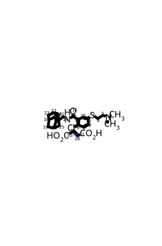 CN(C)CCSc1ccc(Cl)c(C(=O)NCC23CC4CC(CC(C4)C2)C3)c1.O=C(O)/C=C/C(=O)O